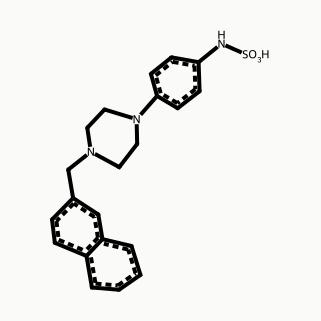 O=S(=O)(O)Nc1ccc(N2CCN(Cc3ccc4ccccc4c3)CC2)cc1